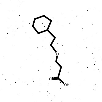 O=C(O)CCOCCC1CCCCC1